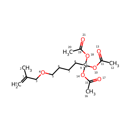 C=C(C)COCCCC[Si](OC(C)=O)(OC(C)=O)OC(C)=O